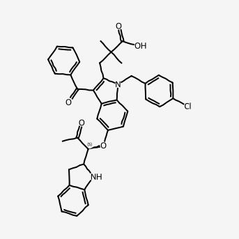 CC(=O)[C@@H](Oc1ccc2c(c1)c(C(=O)c1ccccc1)c(CC(C)(C)C(=O)O)n2Cc1ccc(Cl)cc1)C1Cc2ccccc2N1